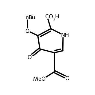 CCCCOc1c(C(=O)O)[nH]cc(C(=O)OC)c1=O